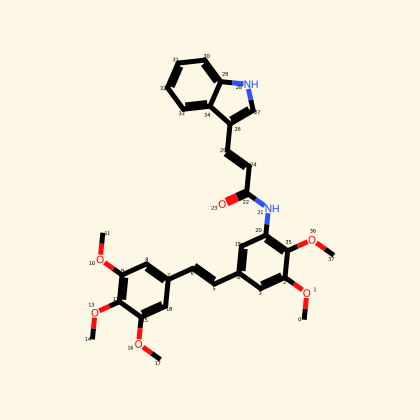 COc1cc(C=Cc2cc(OC)c(OC)c(OC)c2)cc(NC(=O)/C=C/c2c[nH]c3ccccc23)c1OC